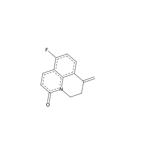 C=C1CCn2c(=O)ccc3c(F)ccc1c32